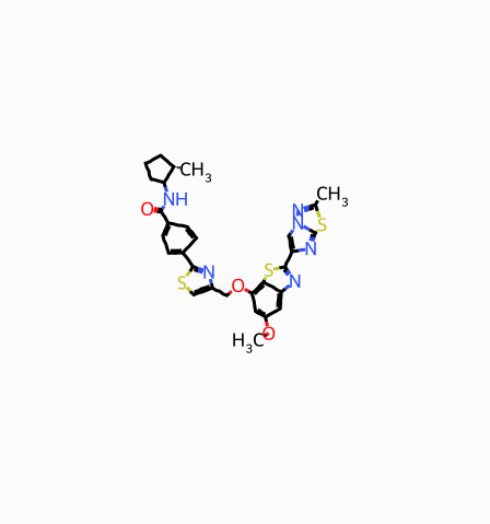 COc1cc(OCc2csc(-c3ccc(C(=O)NC4CCC[C@@H]4C)cc3)n2)c2sc(-c3cn4nc(C)sc4n3)nc2c1